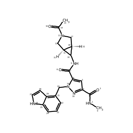 CNC(=O)c1cc(C(=O)NC2[C@H]3CN(C(C)=O)C[C@@H]23)n(Cc2cccc3[nH]ccc23)n1